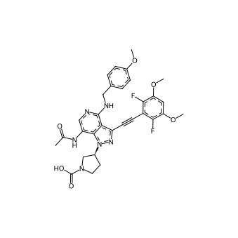 COc1ccc(CNc2ncc(NC(C)=O)c3c2c(C#Cc2c(F)c(OC)cc(OC)c2F)nn3[C@H]2CCN(C(=O)O)C2)cc1